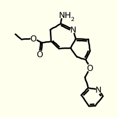 CCOC(=O)C1=CC2CC(OCc3ccccn3)=CC=C2N=C(N)C1